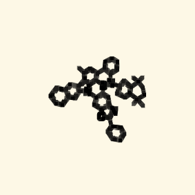 Cc1cc2c3c4c1c1cc5ccccc5cc1n4-c1cc4oc(-c5ccccc5)nc4cc1B3N(c1ccc3c(c1)C(C)(C)CCC3(C)C)c1ccccc1-2